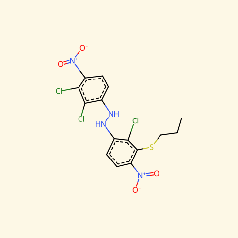 CCCSc1c([N+](=O)[O-])ccc(NNc2ccc([N+](=O)[O-])c(Cl)c2Cl)c1Cl